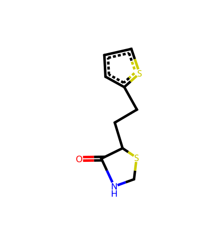 O=C1NCSC1CCc1cccs1